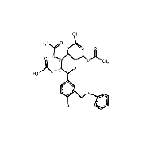 CC(=O)OCC1O[C@@H](c2ccc(Cl)c(COc3ccccc3)c2)[C@H](OC(C)=O)[C@@H](OC(C)=O)C1OC(C)=O